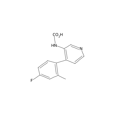 Cc1cc(F)ccc1-c1ccncc1NC(=O)O